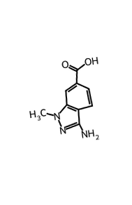 Cn1nc(N)c2ccc(C(=O)O)cc21